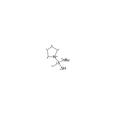 CCCCS(C)(S)N1CCCC1